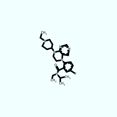 CCN1CCC(N2CCN(c3ccc(F)cc3C(=O)N(CC)C(C)C)c3cncnc32)CC1